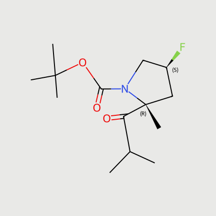 CC(C)C(=O)[C@@]1(C)C[C@H](F)CN1C(=O)OC(C)(C)C